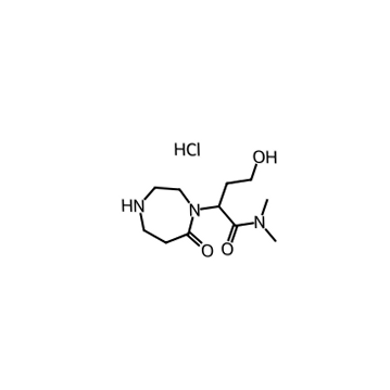 CN(C)C(=O)C(CCO)N1CCNCCC1=O.Cl